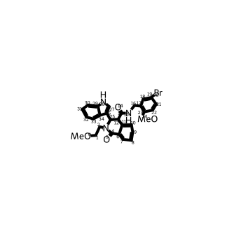 COCCN1C(=O)c2ccccc2C(C(=O)NCc2cc(Br)ccc2OC)C1c1c[nH]c2ccccc12